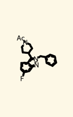 CC(=O)N1CCC(c2c3ccc(F)cc3nn2Cc2ccccc2)CC1